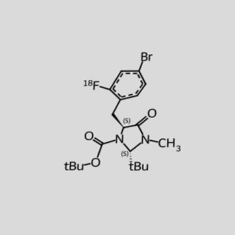 CN1C(=O)[C@H](Cc2ccc(Br)cc2[18F])N(C(=O)OC(C)(C)C)[C@H]1C(C)(C)C